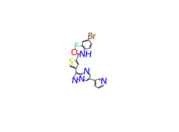 O=C(Nc1ccc(Br)cc1F)c1cc(-c2cnn3cc(-c4cccnc4)cnc23)cs1